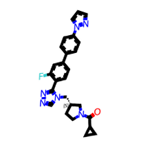 O=C(C1CC1)N1CC[C@H](Cn2cnnc2-c2ccc(-c3ccc(-n4cccn4)cc3)cc2F)C1